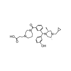 C[C@@H]1CN([C@@H](c2cccc(O)c2)c2cccc(C(=O)N3CCCN(CCC(=O)O)CC3)c2)[C@@H](C)CN1CC1CC1